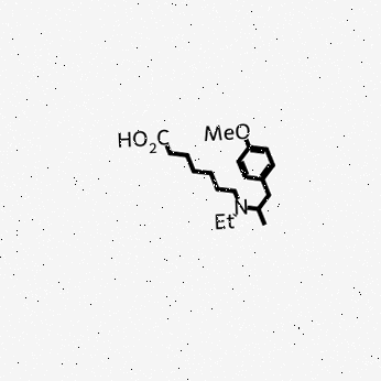 CCN(CCCCCCC(=O)O)C(C)Cc1ccc(OC)cc1